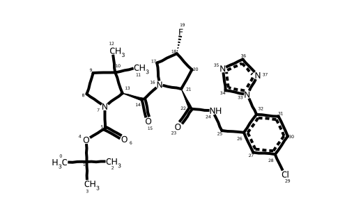 CC(C)(C)OC(=O)N1CCC(C)(C)[C@H]1C(=O)N1C[C@H](F)C[C@H]1C(=O)NCc1cc(Cl)ccc1-n1cncn1